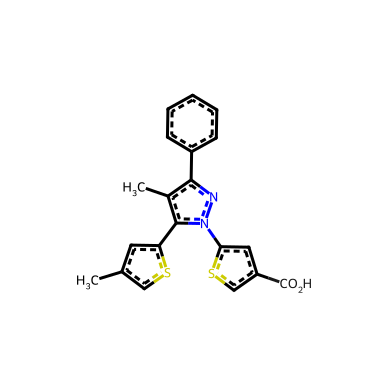 Cc1csc(-c2c(C)c(-c3ccccc3)nn2-c2cc(C(=O)O)cs2)c1